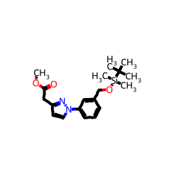 COC(=O)Cc1ccn(-c2cccc(CO[Si](C)(C)C(C)(C)C)c2)n1